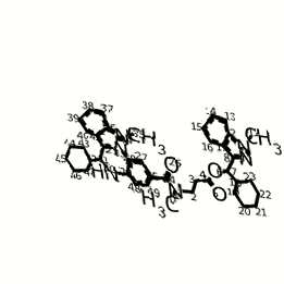 CN(CCC(=O)OC(c1nn(C)c2ccccc12)C1CCCCC1)C(=O)c1ccc(NC(c2nn(C)c3ccccc23)C2CCCCC2)cc1